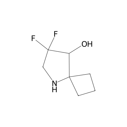 OC1C(F)(F)CNC12CCC2